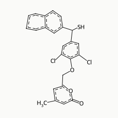 Cc1cc(COc2c(Cl)cc(C(S)c3ccc4ccccc4c3)cc2Cl)oc(=O)c1